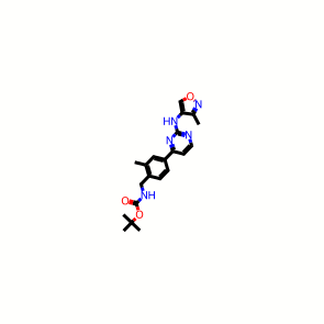 Cc1cc(-c2ccnc(Nc3conc3C)n2)ccc1CNC(=O)OC(C)(C)C